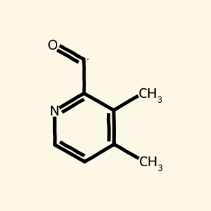 Cc1ccnc([C]=O)c1C